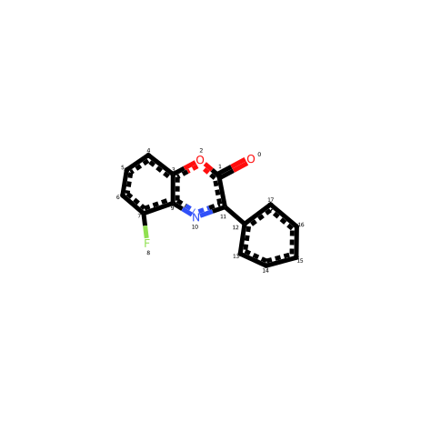 O=c1oc2cccc(F)c2nc1-c1ccccc1